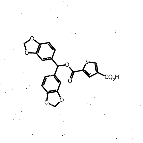 O=C(O)c1csc(C(=O)OC(c2ccc3c(c2)OCO3)c2ccc3c(c2)OCO3)c1